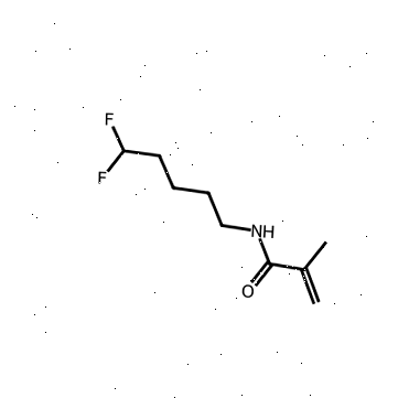 C=C(C)C(=O)NCCCCC(F)F